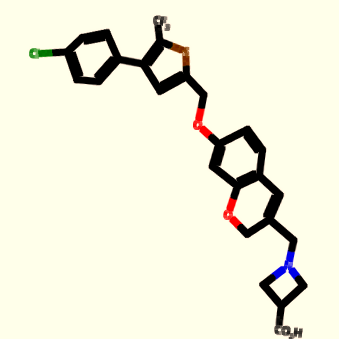 O=C(O)C1CN(CC2=Cc3ccc(OCc4cc(-c5ccc(Cl)cc5)c(C(F)(F)F)s4)cc3OC2)C1